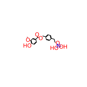 COc1cc(C(=O)OCc2ccc(CCON(O)O)cc2)ccc1O